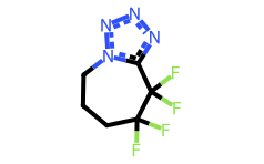 FC1(F)CCCn2nnnc2C1(F)F